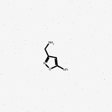 CCCc1cc(CN)no1